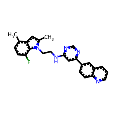 Cc1ccc(F)c2c1cc(C)n2CCNc1cc(-c2ccc3ncccc3c2)ncn1